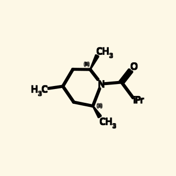 CC1C[C@@H](C)N(C(=O)C(C)C)[C@@H](C)C1